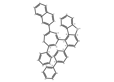 C1=C(c2ccc3ccccc3c2)N=C(c2c(-c3ccc(-c4ccccc4)cc3)ccc3oc4ccccc4c23)N=C(c2ccccc2)C1